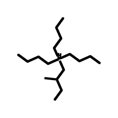 CCCC[PH](CCCC)(CCCC)CC(C)CC